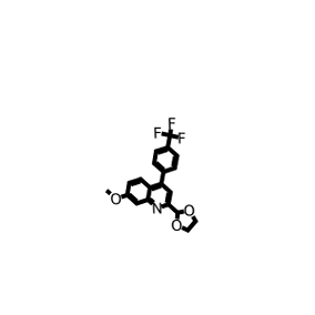 COc1ccc2c(-c3ccc(C(F)(F)F)cc3)cc(C3OCCO3)nc2c1